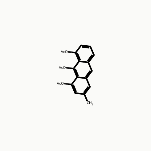 CC(=O)Oc1cccc2cc3cc(C)cc(OC(C)=O)c3c(OC(C)=O)c12